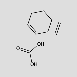 C1=CCCCC1.C=C.O=C(O)O